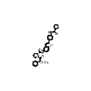 CN[C@@H](C(=O)N1CCC[C@H]1C(=O)Nc1ccc2[nH]c(-c3ccc(NC(=O)C4CCCC4)cc3)cc2c1)c1ccccc1